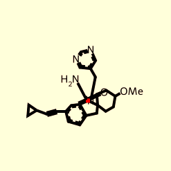 COC1CCC2(CC1)Cc1ccc(C#CC3CC3)cc1C21N=C(N)N(Cc2cncnc2)C1=O